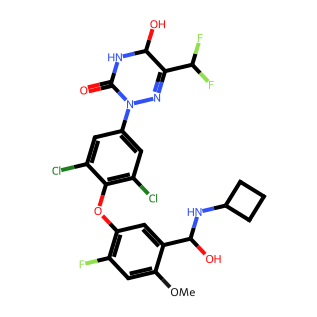 COc1cc(F)c(Oc2c(Cl)cc(N3N=C(C(F)F)C(O)NC3=O)cc2Cl)cc1C(O)NC1CCC1